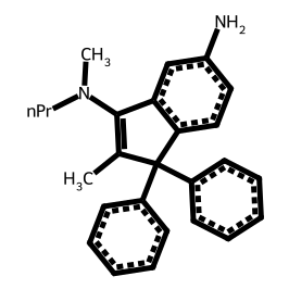 CCCN(C)C1=C(C)C(c2ccccc2)(c2ccccc2)c2ccc(N)cc21